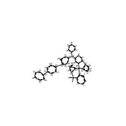 CC1(C)c2ccccc2C2(c3ccccc3-c3ccc(N(c4ccccc4)c4ccc(-c5ccc(-c6ccccc6)cc5)cc4)cc32)c2ccccc21